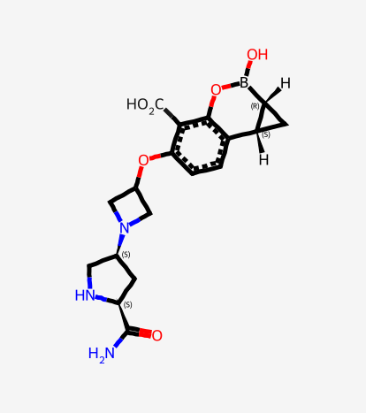 NC(=O)[C@@H]1C[C@H](N2CC(Oc3ccc4c(c3C(=O)O)OB(O)[C@@H]3C[C@H]43)C2)CN1